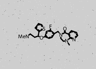 CNCCC(Oc1ccc(CN2CCN(C)c3ncccc3C2=O)c(F)c1)c1cccs1